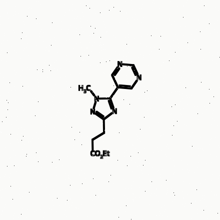 CCOC(=O)CCc1nc(-c2cncnc2)n(C)n1